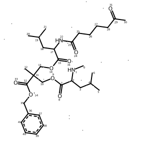 CNC(CC(C)C)C(=O)OCC(C)(COC(=O)C(CC(C)C)NC(=O)CCCCC(C)=O)C(=O)OCc1ccccc1